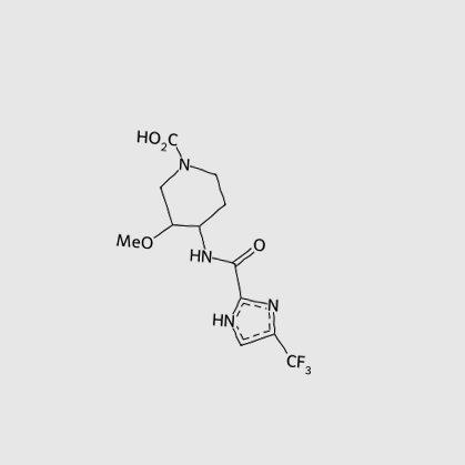 COC1CN(C(=O)O)CCC1NC(=O)c1nc(C(F)(F)F)c[nH]1